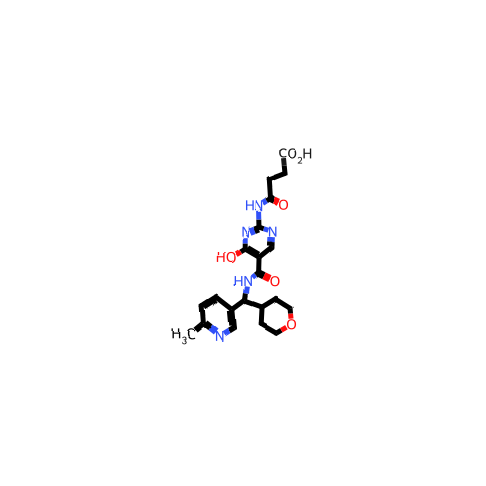 Cc1ccc(C(NC(=O)c2cnc(NC(=O)CCC(=O)O)nc2O)C2CCOCC2)cn1